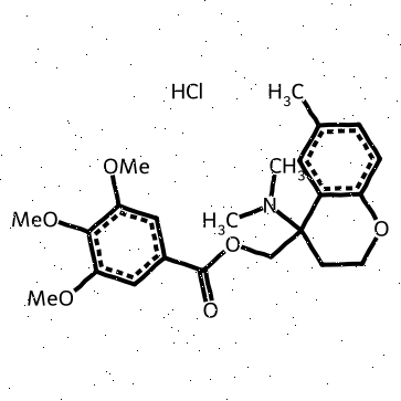 COc1cc(C(=O)OCC2(N(C)C)CCOc3ccc(C)cc32)cc(OC)c1OC.Cl